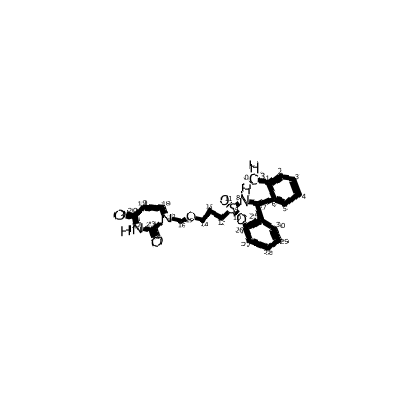 Cc1ccccc1C(NS(=O)(=O)CCCOCn1ccc(=O)[nH]c1=O)c1ccccc1